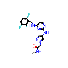 CC(C)NC(=O)Cn1cc(Nc2nccc(NCc3c(F)ccc(F)c3F)n2)cn1